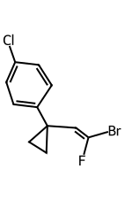 F/C(Br)=C\C1(c2ccc(Cl)cc2)CC1